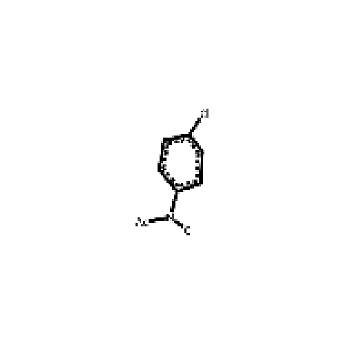 CC(=O)N(Cl)c1ccc(Cl)cc1